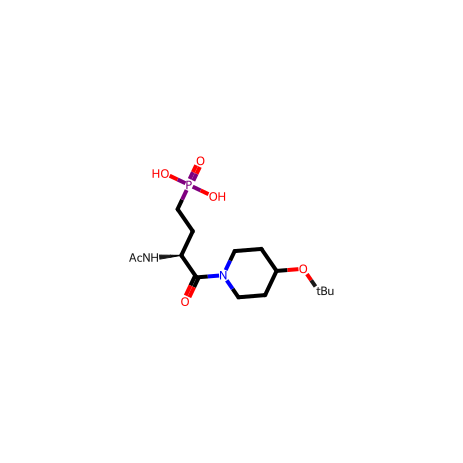 CC(=O)N[C@@H](CCP(=O)(O)O)C(=O)N1CCC(OC(C)(C)C)CC1